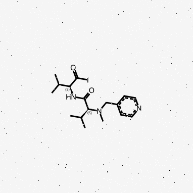 CC(C)[C@H](NC(=O)[C@H](C(C)C)N(C)Cc1ccncc1)C(=O)I